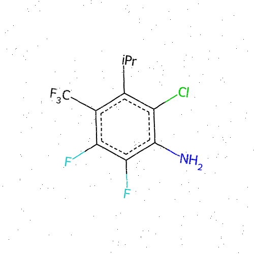 CC(C)c1c(Cl)c(N)c(F)c(F)c1C(F)(F)F